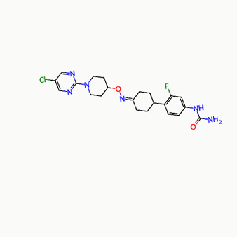 NC(=O)Nc1ccc(C2CCC(=NOC3CCN(c4ncc(Cl)cn4)CC3)CC2)c(F)c1